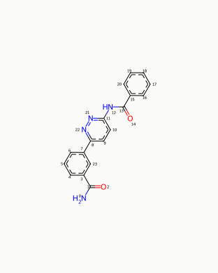 NC(=O)c1cccc(-c2ccc(NC(=O)c3ccccc3)nn2)c1